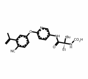 C=C(C)c1cc(Oc2ccc(NC(=O)[C@](CC)(NC(=O)O)C(C)(C)C)cn2)ccc1C#N